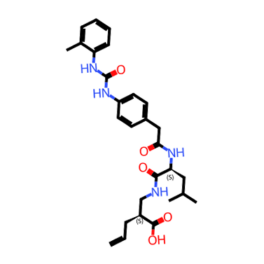 C=CC[C@@H](CNC(=O)[C@H](CC(C)C)NC(=O)Cc1ccc(NC(=O)Nc2ccccc2C)cc1)C(=O)O